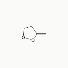 C=C1CCOO1